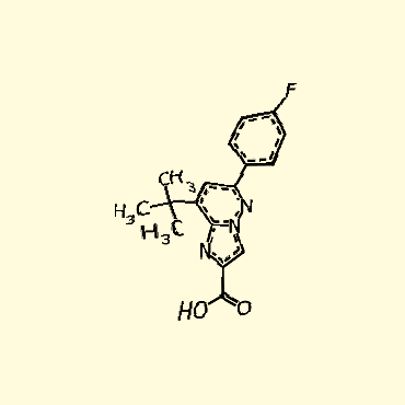 CC(C)(C)c1cc(-c2ccc(F)cc2)nn2cc(C(=O)O)nc12